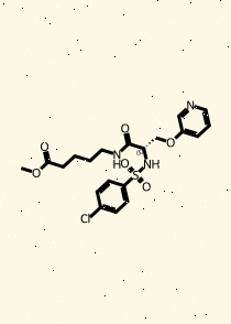 COC(=O)CCCCNC(=O)[C@H](COc1cccnc1)NS(=O)(=O)c1ccc(Cl)cc1